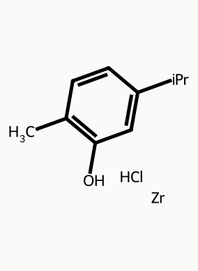 Cc1ccc(C(C)C)cc1O.Cl.[Zr]